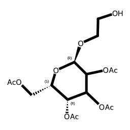 CC(=O)OC[C@@H]1O[C@@H](OCCO)C(OC(C)=O)C(OC(C)=O)[C@@H]1OC(C)=O